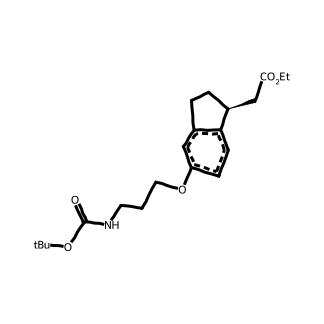 CCOC(=O)C[C@@H]1CCc2cc(OCCCNC(=O)OC(C)(C)C)ccc21